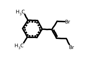 Cc1cc(C)cc(C(=CCBr)CBr)c1